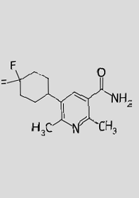 Cc1nc(C)c(C2CCC(F)(F)CC2)cc1C(N)=O